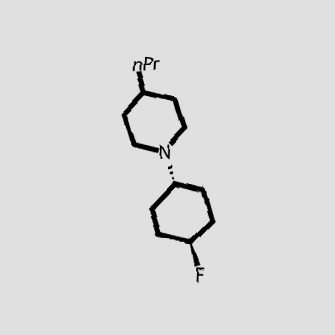 CCCC1CCN([C@H]2CC[C@H](F)CC2)CC1